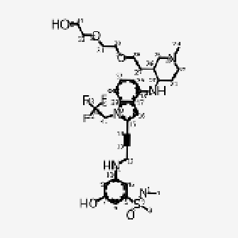 CN=S(C)(=O)c1cc(O)cc(NCC#Cc2cc3c(NC4CCN(C)CC4CCOCCOCCO)cccc3n2CC(F)(F)F)c1